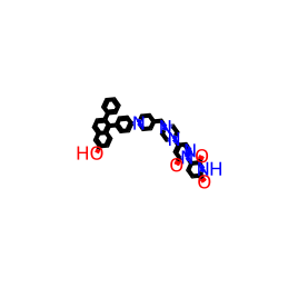 O=C1CCC(n2ncc(N3CCN(CC4CCN(c5ccc(-c6c(-c7ccccc7)ccc7cc(O)ccc67)cc5)CC4)CC3)cc2=O)C(=O)N1